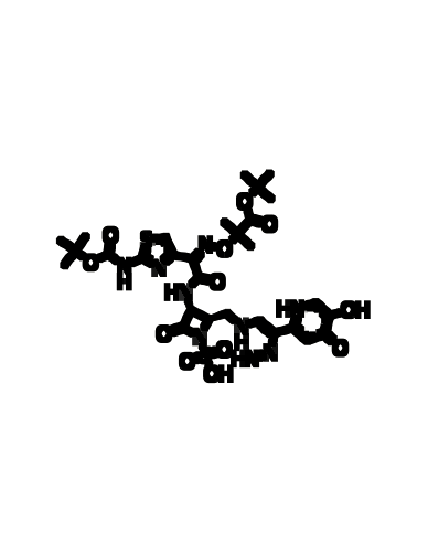 CC(C)(C)OC(=O)Nc1nc(/C(=N/OC(C)(C)C(=O)OC(C)(C)C)C(=O)N[C@@H]2C(=O)N(S(=O)(=O)O)[C@@H]2CN/C=C(\N=N)c2cc(=O)c(O)c[nH]2)cs1